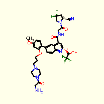 COc1ccc(-c2ccc3nccc(C(=O)NCC(=O)N4CC(F)(F)C[C@H]4C#N)c3c2)c(OCCCN2CCN(C(=O)CN)CC2)c1.O=C(O)C(F)(F)F